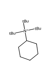 CC(C)(C)[N+](C1CCCCC1)(C(C)(C)C)C(C)(C)C